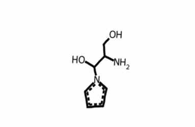 NC(CO)C(O)n1cccc1